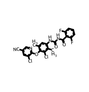 Cc1cc(NC(=O)NC(=O)c2c(F)cccc2F)c(C)c(Cl)c1Oc1ncc(C#N)cc1Cl